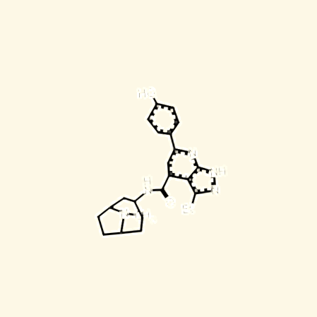 CCc1n[nH]c2nc(-c3ccc(O)cc3)cc(C(=O)NC3CCC4CCC(C3)N4C)c12